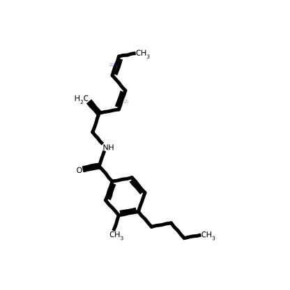 C=C(/C=C\C=C/C)CNC(=O)c1ccc(CCCC)c(C)c1